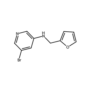 Brc1cncc(NCc2ccco2)c1